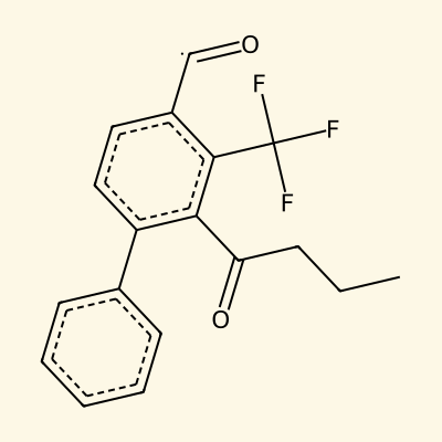 CCCC(=O)c1c(-c2ccccc2)ccc([C]=O)c1C(F)(F)F